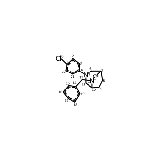 Clc1ccc(N2CC3CCC(C2)N(Cc2ccccc2)C3)cc1